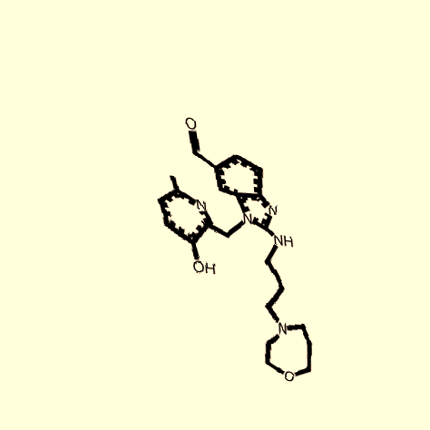 Cc1ccc(O)c(Cn2c(NCCCN3CCCOCC3)nc3ccc(C=O)cc32)n1